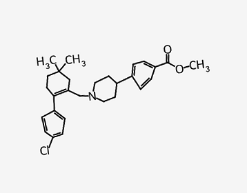 COC(=O)c1ccc(C2CCN(CC3=C(c4ccc(Cl)cc4)CCC(C)(C)C3)CC2)cc1